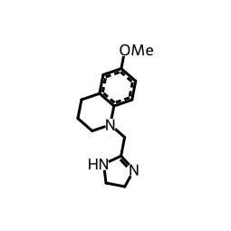 COc1ccc2c(c1)CCCN2CC1=NCCN1